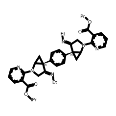 CCN=C1CN(c2ncccc2C(=O)OC(C)C)C2C[C@]12c1ccc([C@]23CC2N(c2ncccc2C(=O)OC(C)C)CC3=NCC)cc1